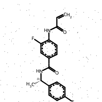 C=CC(=O)Nc1ccc(C(=O)N[C@@H](C)c2ccc(F)cc2)cc1F